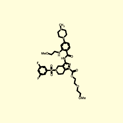 COCCNc1cc(N2CCN(C)CC2)ccc1C(=O)Nc1nn(C(=O)OCCOCCOC)c2c1CN(S(=O)(=O)c1cc(F)cc(F)c1)CC2